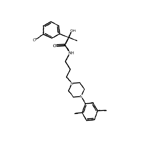 Cc1ccc(C)c(N2CCN(CCCNC(=O)C(C)(O)c3cccc(Cl)c3)CC2)c1